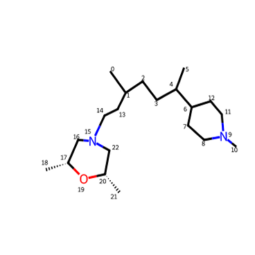 CC(CCC(C)C1CCN(C)CC1)CCN1C[C@@H](C)O[C@@H](C)C1